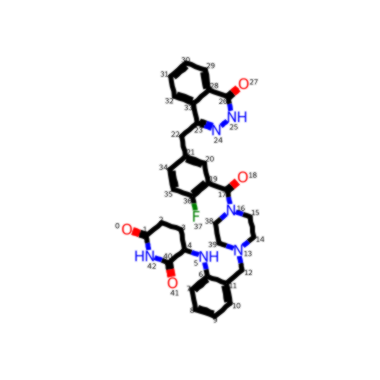 O=C1CCC(Nc2ccccc2CN2CCN(C(=O)c3cc(Cc4n[nH]c(=O)c5ccccc45)ccc3F)CC2)C(=O)N1